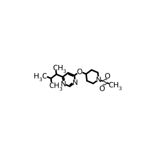 CC(C)C(C)c1cc(OC2CCN(S(C)(=O)=O)CC2)ncn1